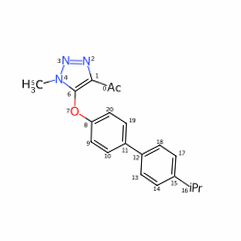 CC(=O)c1nnn(C)c1Oc1ccc(-c2ccc(C(C)C)cc2)cc1